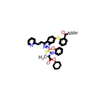 CNC(=O)c1ccccc1Sc1ccc2c(/C=C/c3ccccn3)nn(P(=S)(N[C@@H](C)C(=O)OC3CCCCC3)Oc3ccccc3)c2c1